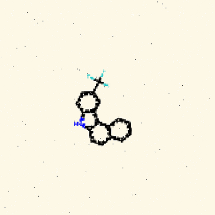 FC(F)(F)c1ccc2[nH]c3ccc4ccccc4c3c2c1